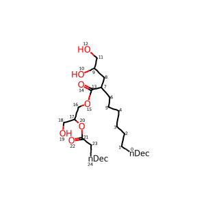 CCCCCCCCCCCCCCCCC(CC(O)CO)C(=O)OCC(CO)OC(=O)CCCCCCCCCCC